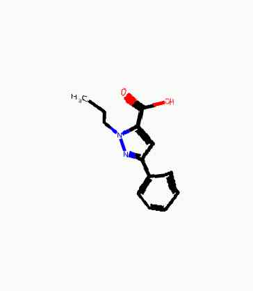 CCCn1nc(-c2ccccc2)cc1C(=O)O